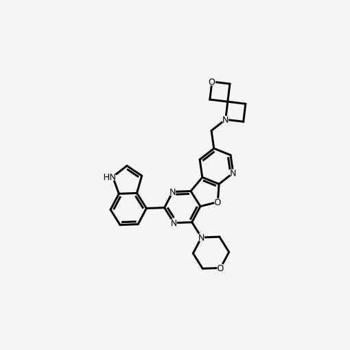 c1cc(-c2nc(N3CCOCC3)c3oc4ncc(CN5CCC56COC6)cc4c3n2)c2cc[nH]c2c1